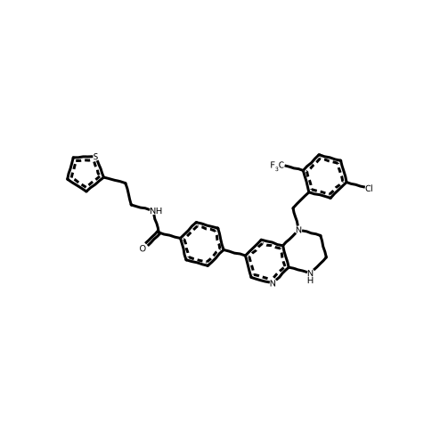 O=C(NCCc1cccs1)c1ccc(-c2cnc3c(c2)N(Cc2cc(Cl)ccc2C(F)(F)F)CCN3)cc1